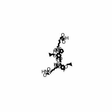 O=C1CN(CCCCCS(=O)(=O)N[C@H](CC(=O)Oc2cc(C3(NS(=O)(=O)CCCCCN4CC(=O)NC4=O)CCCC3)cc(OCC3CC3)c2F)c2ccc(F)c(OCC3CC3)c2)C(=O)N1